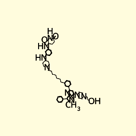 Cc1nn2c(N3CCN(CCO)CC3)cc(-c3cccc(CCCCCCCN4CCC(Nc5cccc(NC6CCC(=O)NC6=O)c5)CC4)c3)nc2c1-c1ccccc1